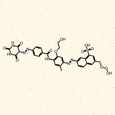 Cc1cc(NC(=O)c2ccc(/N=N/C3C(=O)NC(=O)NC3=O)cc2)c(OCCO)cc1/N=N/c1ccc2cc(SOOO)cc(S(=O)(=O)O)c2c1